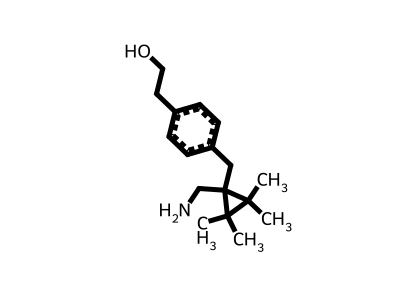 CC1(C)C(C)(C)C1(CN)Cc1ccc(CCO)cc1